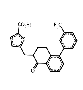 CCOC(=O)c1ccc(CC2CCc3c(cccc3-c3cccc(C(F)(F)F)c3)C2=O)s1